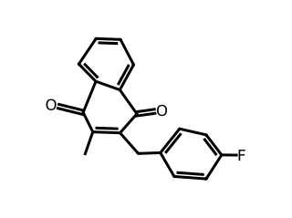 CC1=C(Cc2ccc(F)cc2)C(=O)c2ccccc2C1=O